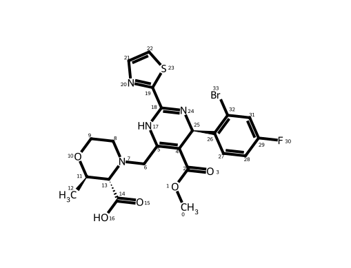 COC(=O)C1=C(CN2CCO[C@H](C)[C@H]2C(=O)O)NC(c2nccs2)=N[C@H]1c1ccc(F)cc1Br